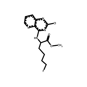 COC(=O)C(CCCCF)Nc1nc(Cl)nc2cccnc12